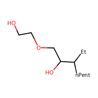 CCCCCC(CC)C(O)COCCO